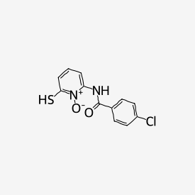 O=C(Nc1cccc(S)[n+]1[O-])c1ccc(Cl)cc1